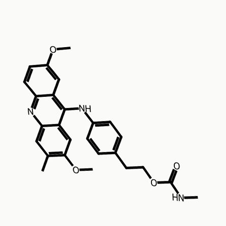 CNC(=O)OCCc1ccc(Nc2c3cc(OC)ccc3nc3cc(C)c(OC)cc23)cc1